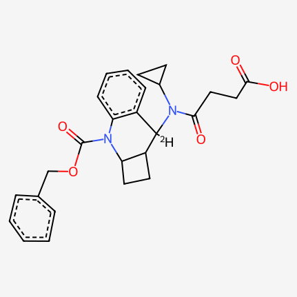 [2H]C1(N(C(=O)CCC(=O)O)C2CC2)c2ccccc2N(C(=O)OCc2ccccc2)C2CCC21